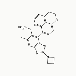 Cc1cc2nc(N3CCC3)sc2c(-c2ccc3c4c(ccnc24)CCO3)c1CC(=O)O